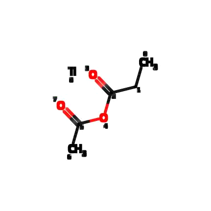 CCC(=O)OC(C)=O.[Ti]